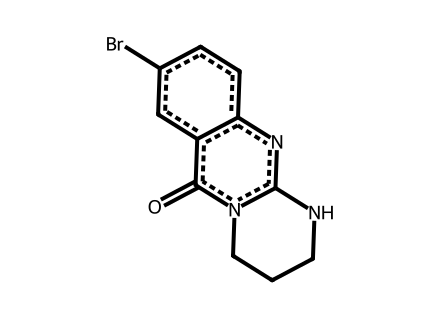 O=c1c2cc(Br)ccc2nc2n1CCCN2